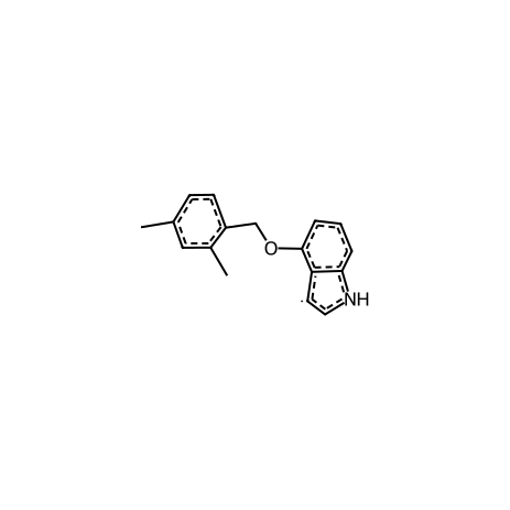 Cc1ccc(COc2cccc3[nH]c[c]c23)c(C)c1